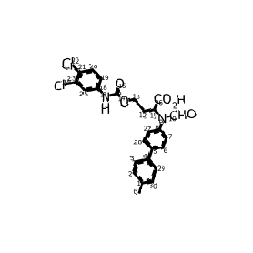 Cc1ccc(-c2ccc(N(C=O)C(CCOC(=O)Nc3ccc(Cl)c(Cl)c3)C(=O)O)cc2)cc1